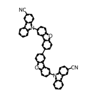 N#Cc1ccc2c(c1)c1ccccc1n2-c1ccc2oc3ccc(-c4ccc5oc6ccc(-n7c8ccccc8c8cc(C#N)ccc87)cc6c5c4)cc3c2c1